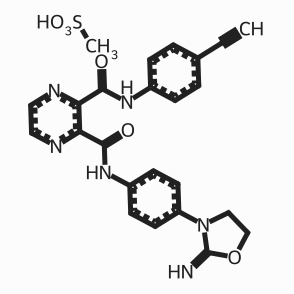 C#Cc1ccc(NC(=O)c2nccnc2C(=O)Nc2ccc(N3CCOC3=N)cc2)cc1.CS(=O)(=O)O